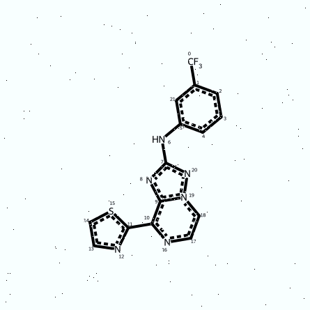 FC(F)(F)c1cccc(Nc2nc3c(-c4nccs4)nccn3n2)c1